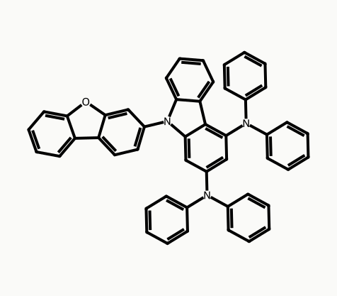 c1ccc(N(c2ccccc2)c2cc(N(c3ccccc3)c3ccccc3)c3c4ccccc4n(-c4ccc5c(c4)oc4ccccc45)c3c2)cc1